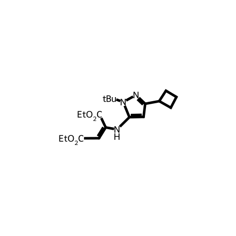 CCOC(=O)/C=C(/Nc1cc(C2CCC2)nn1C(C)(C)C)C(=O)OCC